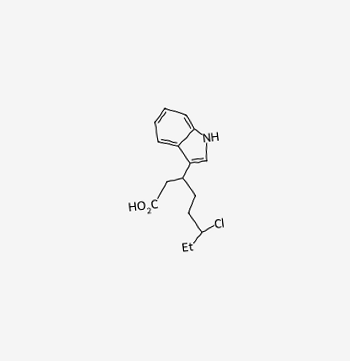 CCC(Cl)CCC(CC(=O)O)c1c[nH]c2ccccc12